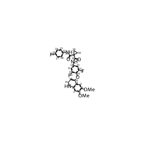 COc1cc2c(cc1OC)C(Oc1c(F)cc(NC(=O)C3(C(=O)Nc4ccc(F)cc4)CC3)cc1F)=CCN2